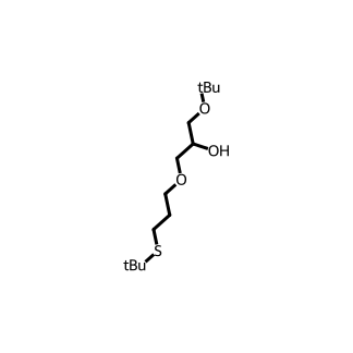 CC(C)(C)OCC(O)COCCCSC(C)(C)C